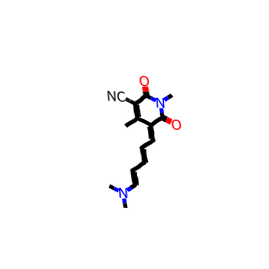 CC1=C(C#N)C(=O)N(C)C(=O)/C1=C/C=C/C=C/N(C)C